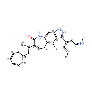 C/C=C/C(=C\C=N/C)c1n[nH]c2cc3c(c(C)c12)CC=C(C(CC)CC1=CC=CC=CC1)C(=O)N3